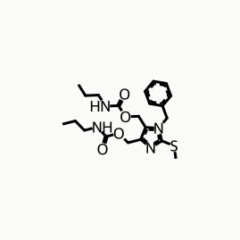 CCCNC(=O)OCc1nc(SC)n(Cc2ccccc2)c1COC(=O)NCCC